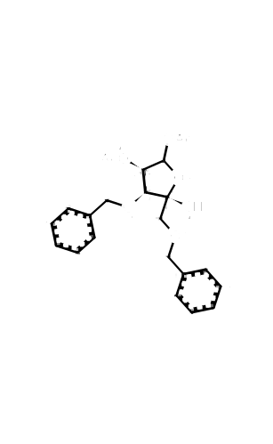 CC(=O)OC1O[C@](C)(COCc2ccccc2)[C@@H](OCc2ccccc2)[C@H]1OC(C)=O